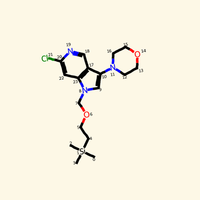 C[Si](C)(C)CCOCn1cc(N2CCOCC2)c2cnc(Cl)cc21